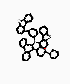 c1ccc(-c2ccc(-c3c(N(c4cccc(-c5cccc6oc7ccccc7c56)c4)c4cccc5sc6ccccc6c45)c4ccccc4c4ccccc34)cc2)cc1